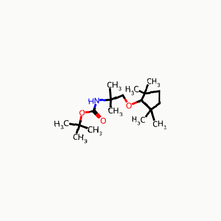 CC(C)(COC1C(C)(C)CCC1(C)C)NC(=O)OC(C)(C)C